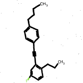 CCCCc1ccc(C#Cc2cc(F)ccc2CCC)cc1